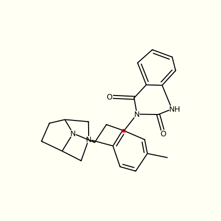 Cc1ccc(N2CC3CCC(C2)N3CCCn2c(=O)[nH]c3ccccc3c2=O)cc1